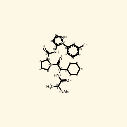 CN[C@@H](C)C(=O)N[C@H](C(=O)N1CCC[C@H]1C(=O)Nc1ccnn1-c1cccc(F)c1)C1CCCCC1